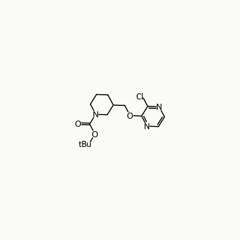 CC(C)(C)OC(=O)N1CCCC(COc2nccnc2Cl)C1